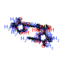 CC1(C)S[C@@H]2[C@H](NC(=O)C(C(=O)O)c3ccccc3)C(=O)N2[C@H]1C(=O)O.C[C@@H]1NC(=O)[C@@H](N)CNC(=O)[C@H]([C@H]2CCN=C(N)N2)NC(=O)/C(=C\NC(N)=O)NC(=O)[C@H](CNC(=O)C[C@@H](N)CCCN)NC1=O.NCCC[C@H](N)CC(=O)NC[C@@H]1NC(=O)[C@H](CO)NC(=O)[C@@H](N)CNC(=O)[C@H]([C@H]2CCN=C(N)N2)NC(=O)/C(=C\NC(N)=O)NC1=O